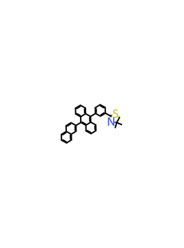 CC1(C)CSC(c2cccc(-c3c4ccccc4c(-c4ccc5ccccc5c4)c4ccccc34)c2)=N1